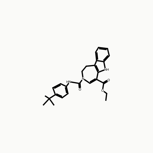 CCOC(=O)C1=CN(C(=O)Nc2ccc(C(C)(C)C)cc2)CCc2c1[nH]c1ccccc21